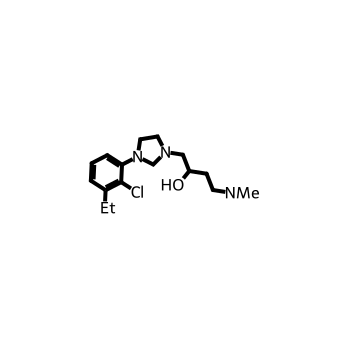 CCc1cccc(N2CCN(CC(O)CCNC)C2)c1Cl